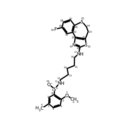 COc1ccc(C)cc1[S+]([O-])NCCCCCNc1nc2c(s1)CCSc1ccc(F)cc1-2